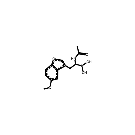 COc1ccc2occ(CC(NC(C)=O)B(O)O)c2c1